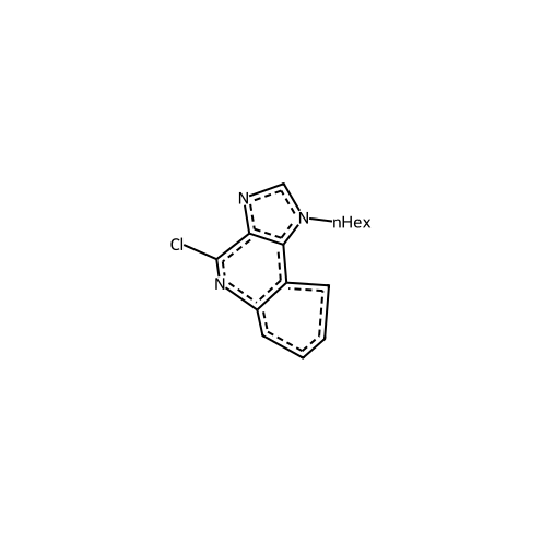 CCCCCCn1cnc2c(Cl)nc3ccccc3c21